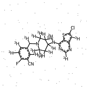 [2H]c1nc(N([2H])C2([2H])C([2H])([2H])C([2H])([2H])N(C([2H])c3c([2H])c([2H])c(F)c(C#N)c3[2H])C([2H])([2H])C2([2H])[2H])c2sc(Cl)c([2H])c2n1